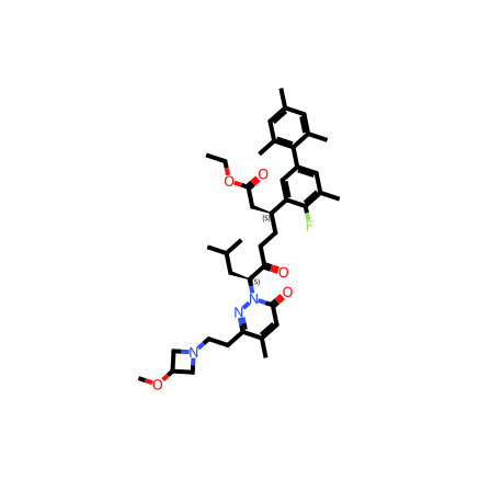 CCOC(=O)C[C@H](CCC(=O)[C@H](CC(C)C)n1nc(CCN2CC(OC)C2)c(C)cc1=O)c1cc(-c2c(C)cc(C)cc2C)cc(C)c1F